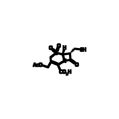 CC(=O)OCC1=C(C(=O)O)N2C(=O)[C@@H](CS)[C@H]2S(=O)(=O)C1